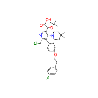 CC1(C)CCN(c2c(C(OC(C)(C)C)C(=O)O)cnc(CCl)c2-c2ccc(OCCc3ccc(F)cc3)cc2)CC1